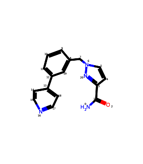 NC(=O)c1[c]cn(Cc2cccc(-c3ccncc3)c2)n1